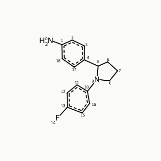 Nc1ccc(C2CCCN2c2ccc(F)cc2)cc1